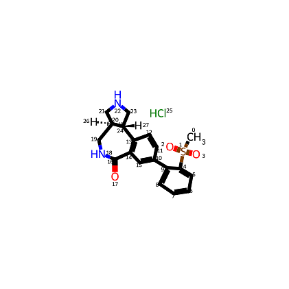 CS(=O)(=O)c1ccccc1-c1ccc2c(c1)C(=O)NC[C@H]1CNC[C@H]21.Cl